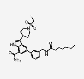 CCCCCCC(=O)NCc1cccc(-c2cc(C(N)=O)c3[nH]cc(C4CCN(S(=O)(=O)CC)CC4)c3c2)c1